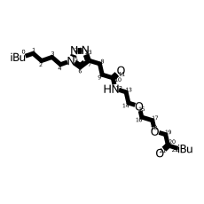 CCC(C)CCCCn1cc(CCC(=O)NCCOCCOCC(=O)C(C)CC)nn1